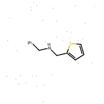 CC(C)[CH2][AlH][CH2]c1cccs1